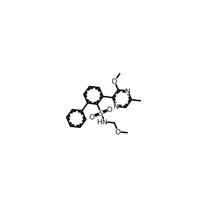 COCNS(=O)(=O)c1c(-c2ccccc2)cccc1-c1ncc(C)nc1OC